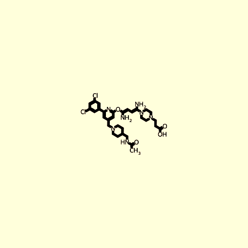 CC(=O)NCC1CCN(Cc2cc(O/C(N)=C/C=C(\N)N3CCN(CCC(=O)O)CC3)nc(-c3cc(Cl)cc(Cl)c3)c2)CC1